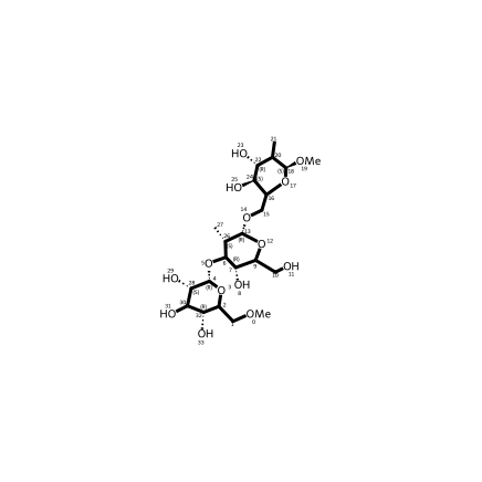 COCC1O[C@@H](OC2[C@@H](O)C(CO)O[C@@H](OCC3O[C@H](OC)C(C)[C@@H](O)[C@@H]3O)[C@H]2C)[C@@H](O)C(O)[C@H]1O